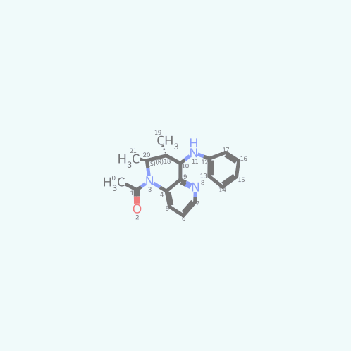 CC(=O)N1c2cccnc2C(Nc2ccccc2)[C@@H](C)[C@@H]1C